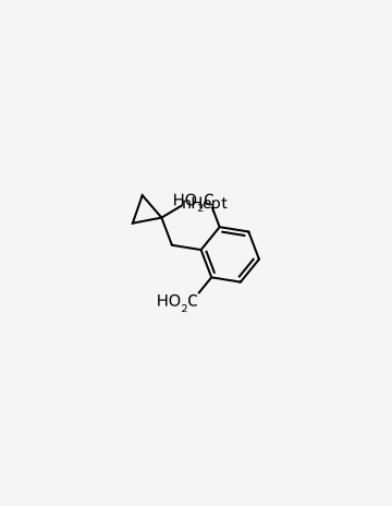 CCCCCCCC1(Cc2c(C(=O)O)cccc2C(=O)O)CC1